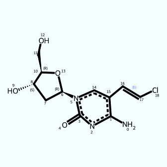 Nc1nc(=O)n([C@H]2C[C@H](O)[C@@H](CO)O2)cc1/C=C/Cl